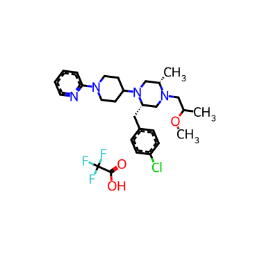 COC(C)CN1C[C@H](Cc2ccc(Cl)cc2)N(C2CCN(c3ccccn3)CC2)C[C@@H]1C.O=C(O)C(F)(F)F